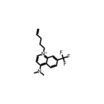 C=CCCC[n+]1ccc(N(C)C)c2ccc(C(F)(F)F)cc21